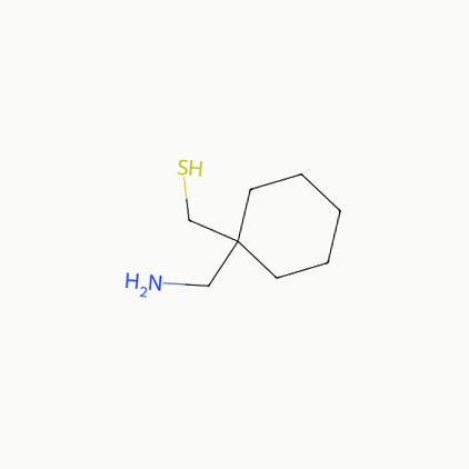 NCC1(CS)CCCCC1